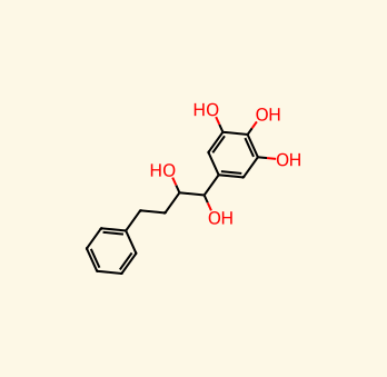 Oc1cc(C(O)C(O)CCc2ccccc2)cc(O)c1O